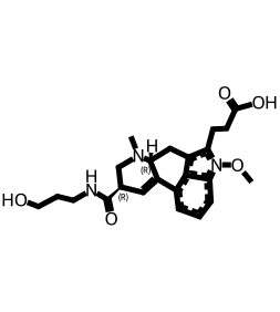 COn1c(CCC(=O)O)c2c3c(cccc31)C1=C[C@@H](C(=O)NCCCO)CN(C)[C@@H]1C2